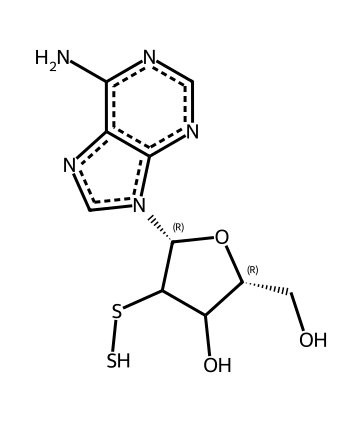 Nc1ncnc2c1ncn2[C@@H]1O[C@H](CO)C(O)C1SS